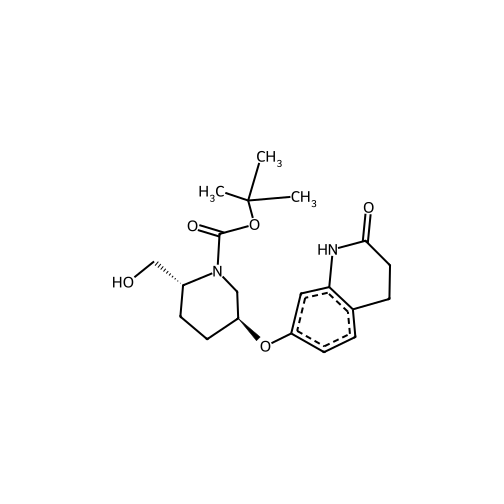 CC(C)(C)OC(=O)N1C[C@@H](Oc2ccc3c(c2)NC(=O)CC3)CC[C@@H]1CO